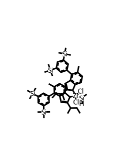 CCC(C)C1=Cc2c(ccc(C)c2-c2cc([Si](C)(C)C)cc([Si](C)(C)C)c2)[CH]1[Zr]([Cl])([Cl])([CH]1C(C(C)CC)=Cc2c1ccc(C)c2-c1cc([Si](C)(C)C)cc([Si](C)(C)C)c1)[SiH](C)C